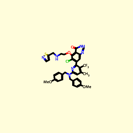 COc1ccc(CN(Cc2ccc(OC)cc2)c2cc(C)c(C(F)(F)F)c(-c3cc4nc[nH]c(=O)c4c(OCCNCc4ccns4)c3Cl)n2)cc1